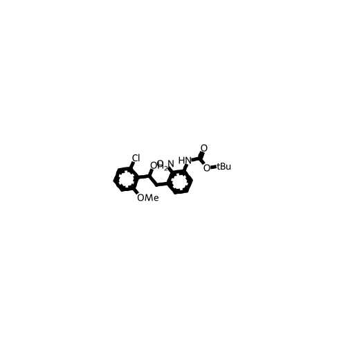 COc1cccc(Cl)c1C(O)Cc1cccc(NC(=O)OC(C)(C)C)c1[N+](=O)[O-]